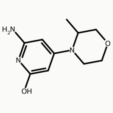 CC1COCCN1c1cc(N)nc(O)c1